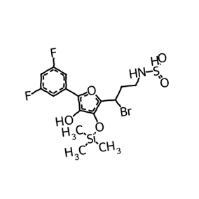 C[Si](C)(C)Oc1c(C(Br)CCN[SH](=O)=O)oc(-c2cc(F)cc(F)c2)c1O